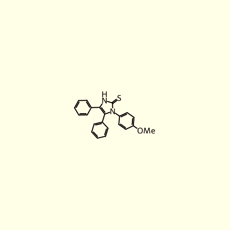 COc1ccc(-n2c(-c3ccccc3)c(-c3ccccc3)[nH]c2=S)cc1